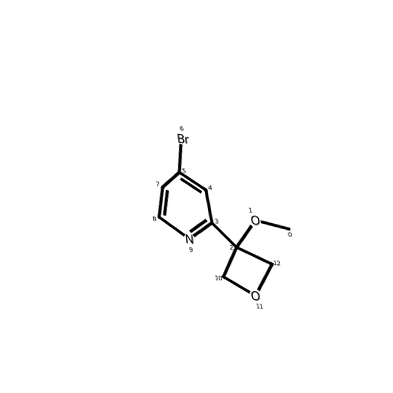 COC1(c2cc(Br)ccn2)COC1